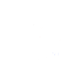 CC1Cc2ccccc2C1=O.COC1NC2CC2C1OC